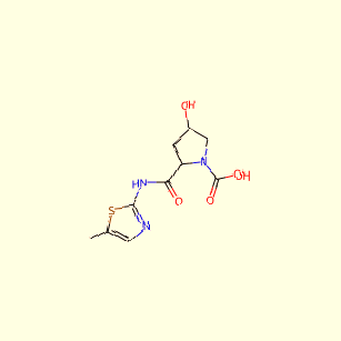 Cc1cnc(NC(=O)C2CC(O)CN2C(=O)O)s1